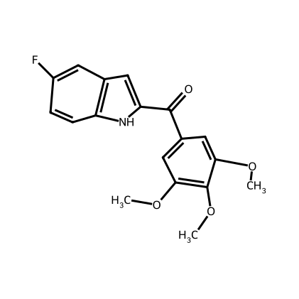 COc1cc(C(=O)c2cc3cc(F)ccc3[nH]2)cc(OC)c1OC